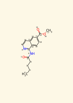 CCCCC(=O)Nc1nccc2cc(C(=O)OC)ccc12